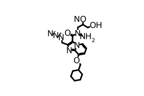 [N-]=[N+]=NCc1nc2c(OCC3CCCCC3)cccn2c1C(=O)N(N)CC(CO)N=O